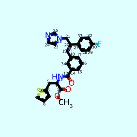 COC(=O)C(Cc1cccs1)NC(=O)c1cccc(/C=C(/Cn2ccnc2)c2ccc(F)cc2)c1